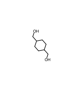 OC[C]1CCC(CO)CC1